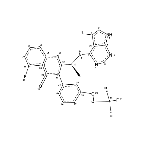 Cc1c[nH]c2ncnc(N[C@@H](C)c3nc4cccc(F)c4c(=O)n3-c3cccc(OCC(F)(F)F)c3)c12